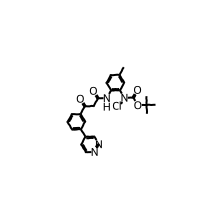 Cc1ccc(NC(=O)CC(=O)c2cccc(-c3ccnnc3)c2)c(N(Cl)C(=O)OC(C)(C)C)c1